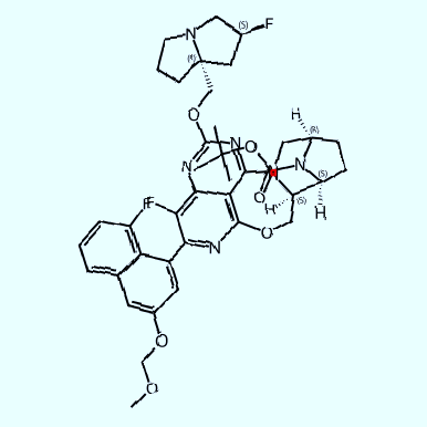 COCOc1cc(-c2nc3c4c(nc(OC[C@]56CCCN5C[C@@H](F)C6)nc4c2F)N2C[C@H]4CC[C@@H]([C@H]2CO3)N4C(=O)OC(C)(C)C)c2c(F)cccc2c1